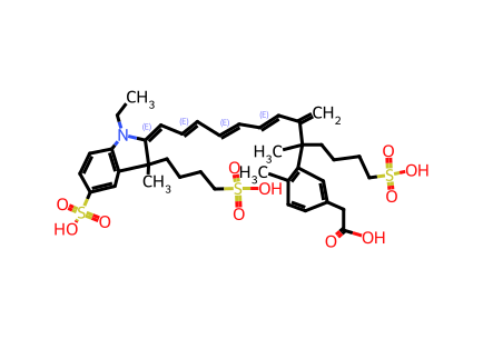 C=C(/C=C/C=C/C=C/C=C1/N(CC)c2ccc(S(=O)(=O)O)cc2C1(C)CCCCS(=O)(=O)O)C(C)(CCCCS(=O)(=O)O)c1cc(CC(=O)O)ccc1C